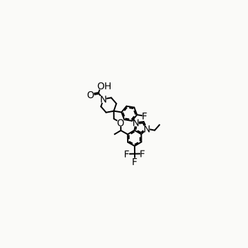 CCn1cnc2c(C(C)OCC3(c4ccc(F)cc4)CCN(C(=O)O)CC3)cc(C(F)(F)F)cc21